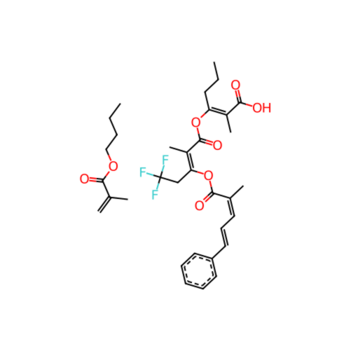 C=C(C)C(=O)OCCCC.CCCC(OC(=O)C(C)=C(CC(F)(F)F)OC(=O)C(C)=CC=Cc1ccccc1)=C(C)C(=O)O